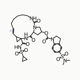 CN(C)S(=O)(=O)c1ccc2c(c1)CCN2C(=O)OC1CC2C(=O)NC3(C(=O)NS(=O)(=O)C4CC4)CC3/C=C/CCCCCNC(=O)N2C1